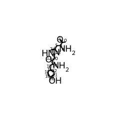 CC(=O)C(N)Cc1c[nH]c(CC(=O)C(N)Cc2ccc(O)cc2)n1